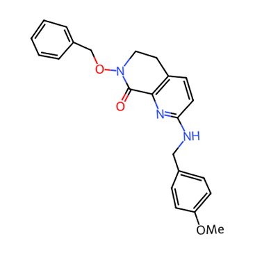 COc1ccc(CNc2ccc3c(n2)C(=O)N(OCc2ccccc2)CC3)cc1